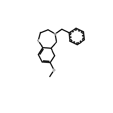 COC1=CC=C2SCCN(Cc3ccccc3)CC2C1